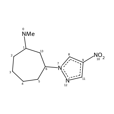 CNC1CCCCC(n2cc([N+](=O)[O-])cn2)C1